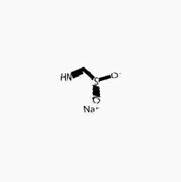 N=CS(=O)[O-].[Na+]